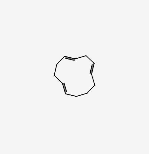 [CH]1/C=C/CC/C=C/C/C=C/CC1